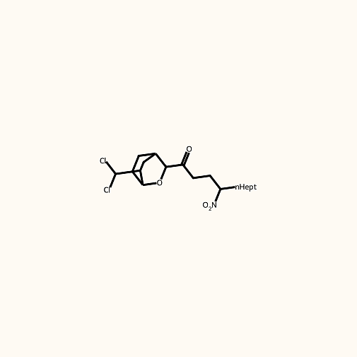 [CH2]CCCCCCC(CCC(=O)[C]1OC2CCC1CC2C(Cl)Cl)[N+](=O)[O-]